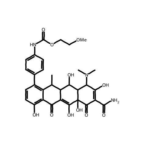 COCCOC(=O)Nc1ccc(-c2ccc(O)c3c2C(C)C2C(=C(O)C4(O)C(=O)C(C(N)=O)=C(O)C(N(C)C)C4C2O)C3=O)cc1